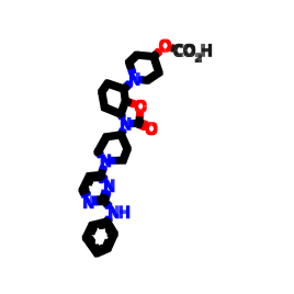 O=C(O)OC1CCN(C2CCCC3C2OC(=O)N3C2CCN(c3ccnc(Nc4ccccc4)n3)CC2)CC1